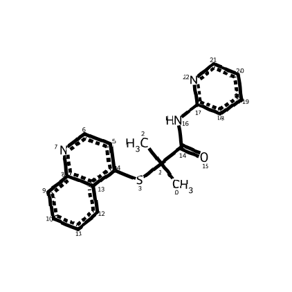 CC(C)(Sc1ccnc2ccccc12)C(=O)Nc1ccccn1